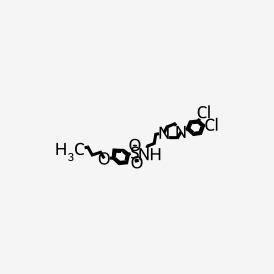 CCCCOc1ccc(S(=O)(=O)NCCCN2CCN(c3ccc(Cl)c(Cl)c3)CC2)cc1